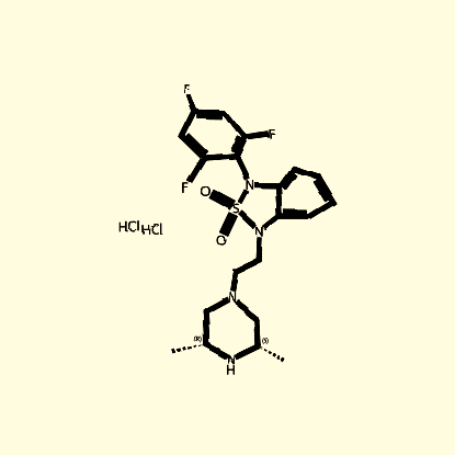 C[C@@H]1CN(CCN2c3ccccc3N(c3c(F)cc(F)cc3F)S2(=O)=O)C[C@H](C)N1.Cl.Cl